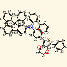 c1ccc(-c2ccccc2N(c2ccc(-c3sc(-c4ccccc4)c4c3OCCO4)cc2)c2ccc3c(c2)C2(c4ccccc4-c4ccccc42)c2ccccc2-3)cc1